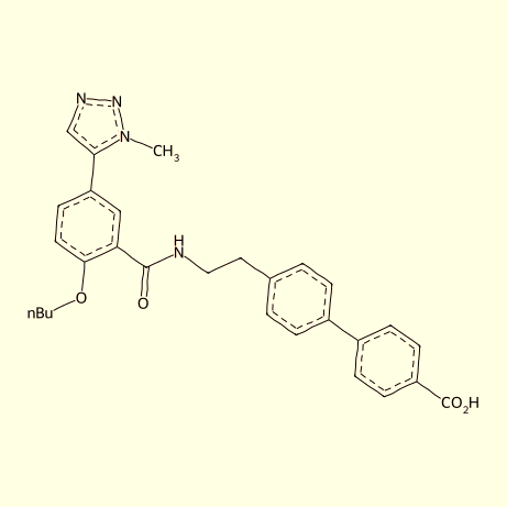 CCCCOc1ccc(-c2cnnn2C)cc1C(=O)NCCc1ccc(-c2ccc(C(=O)O)cc2)cc1